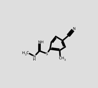 CNC(=N)Sc1ccc(C#N)cc1C